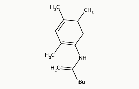 C=C(NC1=C(C)C=C(C)C(C)C1)C(C)CC